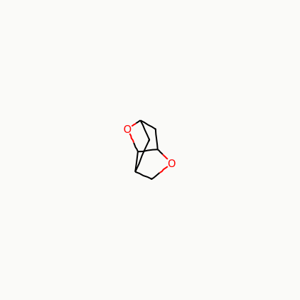 C1OC2CC3CC1C2O3